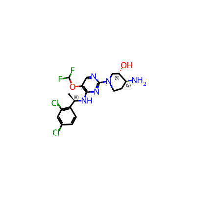 C[C@@H](Nc1nc(N2CC[C@H](N)[C@@H](O)C2)ncc1OC(F)F)c1ccc(Cl)cc1Cl